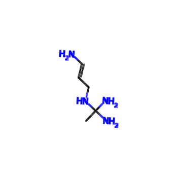 CC(N)(N)NCC=CN